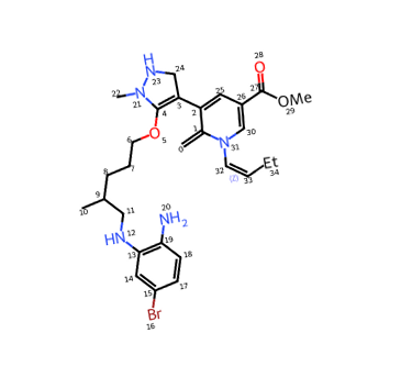 C=C1C(C2=C(OCCCC(C)CNc3cc(Br)ccc3N)N(C)NC2)=CC(C(=O)OC)=CN1/C=C\CC